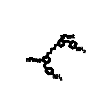 CCCCCc1cc(CCCCCc2ccc(Cc3ccc(N)cc3)c(CCCCC)c2)ccc1Cc1ccc(N)cc1